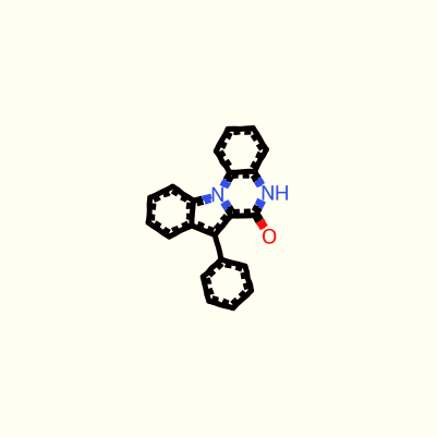 O=c1[nH]c2ccccc2n2c1c(-c1ccccc1)c1ccccc12